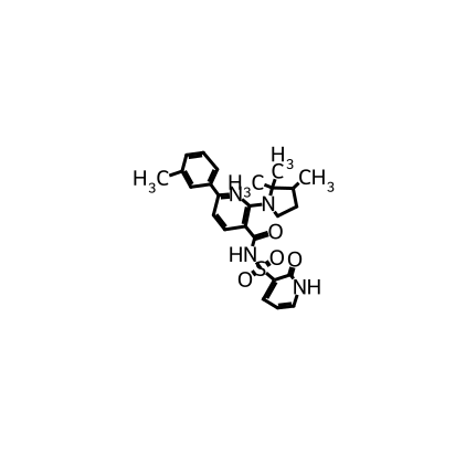 Cc1cccc(-c2ccc(C(=O)NS(=O)(=O)c3ccc[nH]c3=O)c(N3CCC(C)C3(C)C)n2)c1